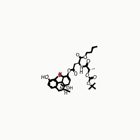 CCCCOC(=O)[C@H](CC(=O)OC1=CC[C@@]2(O)[C@H]3Cc4ccc(O)c5c4[C@@]2(CCN3C)[C@H]1O5)NC(=O)[C@H](C)OC(=O)OC(C)(C)C